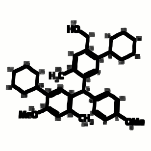 COc1ccc(C(c2cc(C3CCCCC3)c(CO)cc2C)c2cc(C3CCCCC3)c(OC)cc2C)cc1